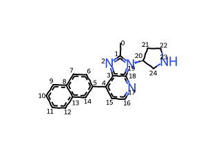 Cc1nc2c(-c3ccc4ccccc4c3)ccnc2n1[C@H]1CCNC1